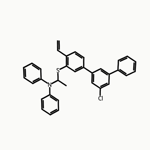 C=Cc1ccc(-c2cc(Cl)cc(-c3ccccc3)c2)cc1SC(C)N(c1ccccc1)c1ccccc1